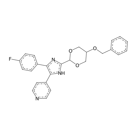 Fc1ccc(-c2nc(C3OCC(OCc4ccccc4)CO3)[nH]c2-c2ccncc2)cc1